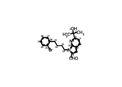 CC(C)(O)c1ccc2cc(C=O)n(CCCCc3ccccc3Br)c2n1